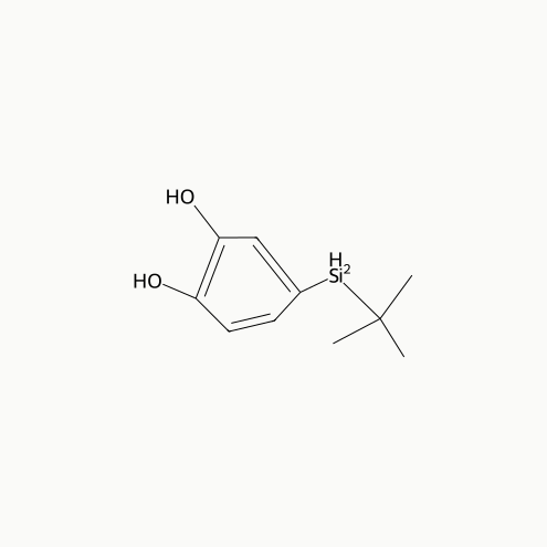 CC(C)(C)[SiH2]c1ccc(O)c(O)c1